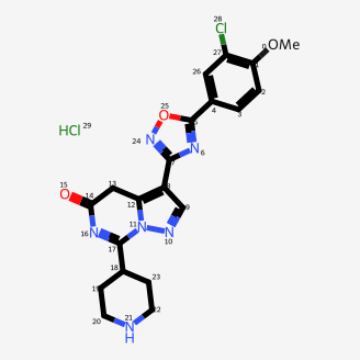 COc1ccc(-c2nc(-c3cnn4c3CC(=O)N=C4C3CCNCC3)no2)cc1Cl.Cl